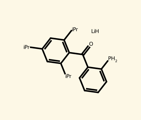 CC(C)c1cc(C(C)C)c(C(=O)c2ccccc2P)c(C(C)C)c1.[LiH]